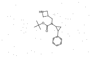 CC(C)(C)OC(=O)N(CC1CNC1)C1CC1c1ccccc1